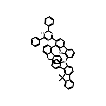 CC1(C)c2ccccc2-c2ccc3c(c21)c1ccccc1n3-c1cccc2c1oc1c(-c3cccc4oc5ccccc5c34)c(C3=NC(c4ccccc4)NC(c4ccccc4)=N3)ccc12